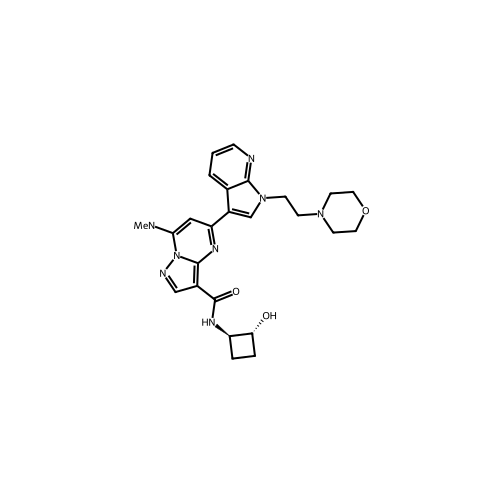 CNc1cc(-c2cn(CCN3CCOCC3)c3ncccc23)nc2c(C(=O)N[C@@H]3CC[C@H]3O)cnn12